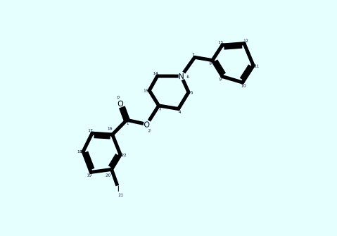 O=C(OC1CCN(Cc2ccccc2)CC1)c1cccc(I)c1